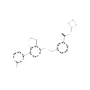 Nc1nccc(-c2cnc(NCc3cccc(C(=O)NC4CCC4)c3)c3c2OCC3)n1